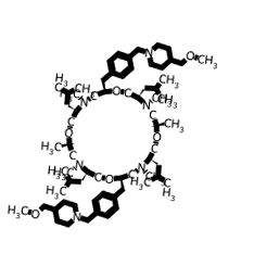 COCC1CCN(Cc2ccc(C[C@@H]3CN(C)[C@@H](CC(C)C)CO[C@H](C)CN(C)[C@@H](CC(C)C)CO[C@H](Cc4ccc(CN5CCC(COC)CC5)cc4)CN(C)[C@@H](CC(C)C)CO[C@H](C)CN(C)[C@@H](CC(C)C)CO3)cc2)CC1